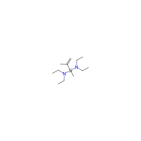 C=C(C)[Si](C)(N(CC)CC)N(CC)CC